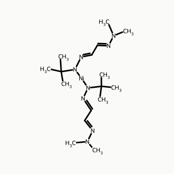 CN(C)N=CC=N[N]([Ni][N](N=CC=NN(C)C)C(C)(C)C)C(C)(C)C